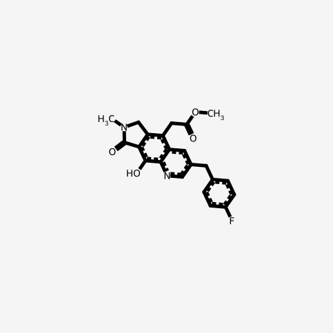 COC(=O)Cc1c2c(c(O)c3ncc(Cc4ccc(F)cc4)cc13)C(=O)N(C)C2